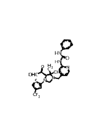 CC1(C)C(C(=O)C=O)N(c2cc(C(F)(F)F)cs2)CN1Cc1ccnc(NC(=O)Nc2ccccc2)c1